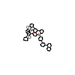 c1cc(-c2ccc(N(c3ccc(-c4cccc5c4oc4ccccc45)cc3)c3ccccc3-c3ccc4c(c3)c3cccc5c3n4-c3ccccc3O5)cc2)cc(-c2cccc3ccccc23)c1